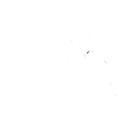 Cc1ccc(C2CC=C(C(=O)N[C@@H]3C(N4CCN(C(C)C)CC4)CCCC3(F)F)CC2)cc1